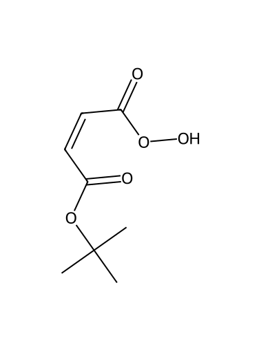 CC(C)(C)OC(=O)/C=C\C(=O)OO